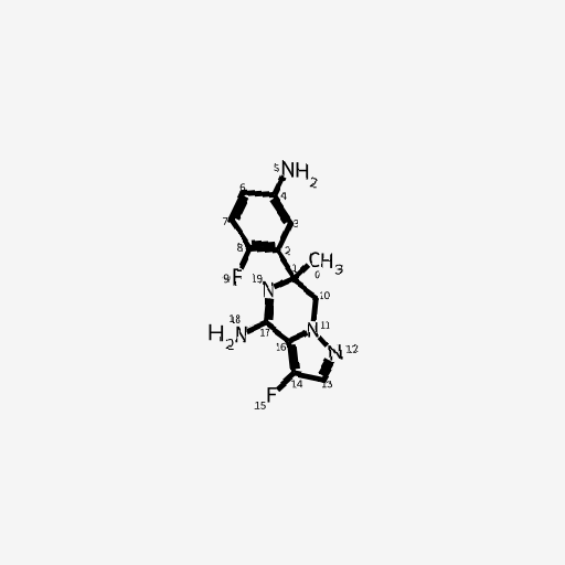 CC1(c2cc(N)ccc2F)Cn2ncc(F)c2C(N)=N1